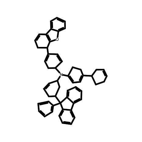 C1=CCC(C2=CC=C(N(C3C=CC(C4CC=Cc5c4oc4ccccc54)=CC3)C3C=CCC(C4(c5ccccc5)c5ccccc5-c5ccccc54)C3)CC2)CC1